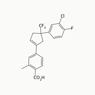 Cc1cc(C2=CCC(c3ccc(F)c(Cl)c3)(C(F)(F)F)C2)ccc1C(=O)O